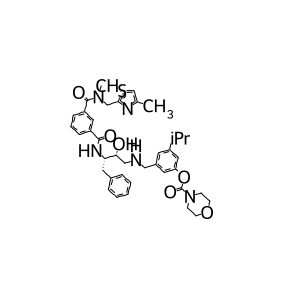 Cc1csc(CN(C)C(=O)c2cccc(C(=O)N[C@@H](Cc3ccccc3)[C@H](O)CNCc3cc(OC(=O)N4CCOCC4)cc(C(C)C)c3)c2)n1